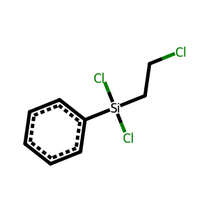 ClCC[Si](Cl)(Cl)c1ccccc1